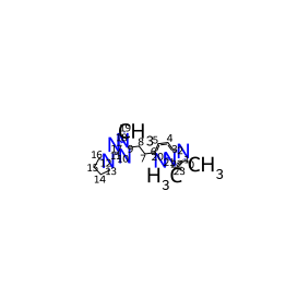 Cc1nc2ccc(CCc3nc(N4CCCC4)nn3C)nn2c1C